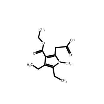 CCOC(=O)c1c(CC)c(CC)n(C)c1CC(=O)O